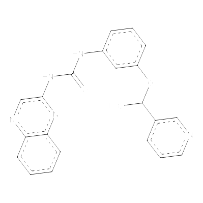 CC(Oc1cccc(NC(=O)Nc2cnc3ccccc3n2)c1)c1cccnc1